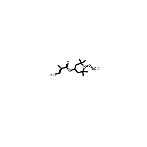 CCCCCCCCON1C(C)(C)CC(OC(=O)C(C)=CN)CC1(C)C